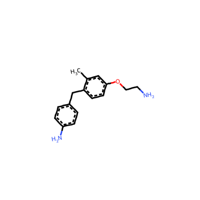 Cc1cc(OCCN)ccc1Cc1ccc(N)cc1